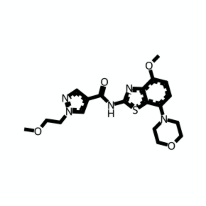 COCCn1cc(C(=O)Nc2nc3c(OC)ccc(N4CCOCC4)c3s2)cn1